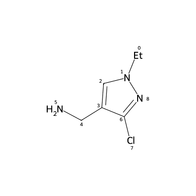 CCn1cc(CN)c(Cl)n1